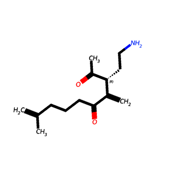 C=C(C)CCCC(=O)C(=C)[C@@H](CCN)C(C)=O